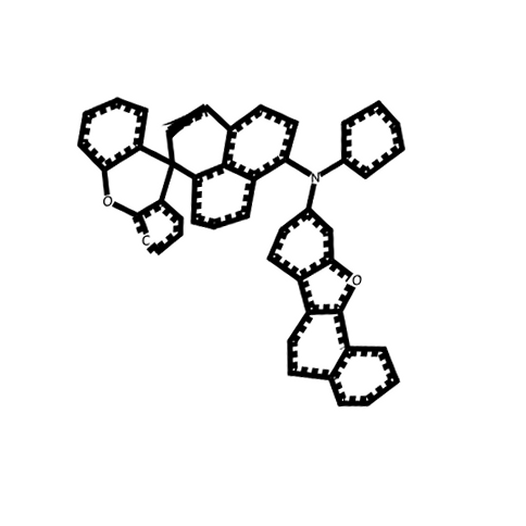 c1ccc(N(c2ccc3c(c2)oc2c4ccccc4ccc32)c2ccc3c4c(cccc24)C2(c4ccccc4Oc4ccccc42)c2ccccc2-3)cc1